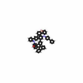 c1ccc(-c2ccc(N(c3cccc(-c4ccc5c(c4)-c4ccccc4C54c5ccccc5-c5ccccc54)c3)c3cccc4oc5ccc(-c6ccc7c(c6)c6ccccc6n7-c6ccccc6)cc5c34)cc2)cc1